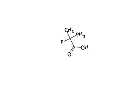 CC(F)(P)C(=O)O